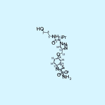 CC(C)[C@@H](C(=O)NCCCO)n1cc(COc2ccc3nc(S(N)(=O)=O)sc3c2)nn1